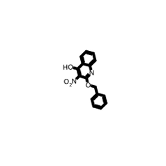 O=[N+]([O-])c1c(OCc2ccccc2)nc2ccccc2c1O